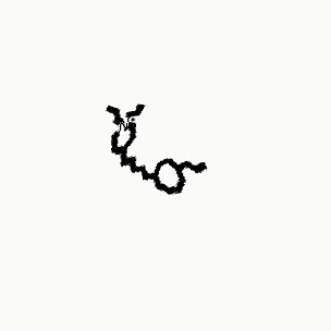 C=CCC1CCCCC(CCCCCC2CC[N+](CC=C)(CC=C)CC2)CC1